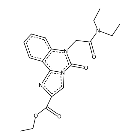 CCOC(=O)c1cn2c(=O)n(CC(=O)N(CC)CC)c3ccccc3c2n1